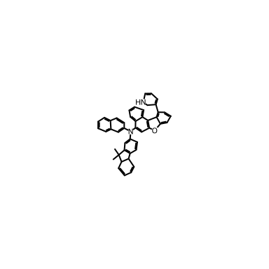 CC1(C)c2cc(N(c3ccc4ccccc4c3)c3cc4oc5cccc(C6=CC=CNC6)c5c4c4ccccc34)ccc2C2C=CC=CC21